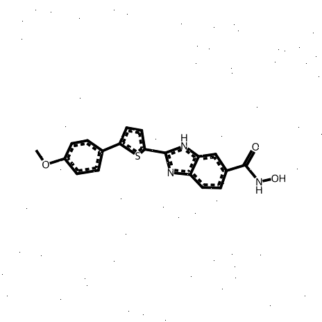 COc1ccc(-c2ccc(-c3nc4ccc(C(=O)NO)cc4[nH]3)s2)cc1